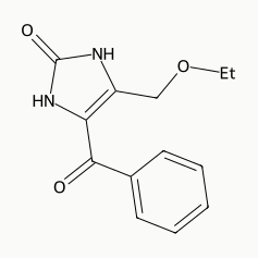 CCOCc1[nH]c(=O)[nH]c1C(=O)c1ccccc1